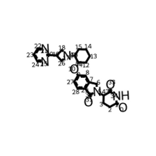 O=C1CCC(N2Cc3cc(O[C@@H]4CCCC[C@H]4N4CC(c5ncccn5)C4)ccc3C2=O)C(=O)N1